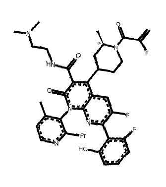 C=C(F)C(=O)N1CCC(c2c(C(=O)NCCN(C)C)c(=O)n(-c3c(C)ccnc3C(C)C)c3nc(-c4c(O)cccc4F)c(F)cc23)C[C@H]1C